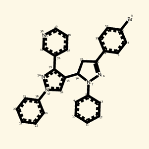 Brc1ccc(C2=NN(c3ccccc3)C(c3cn(-c4ccccc4)nc3-c3cccnc3)C2)cc1